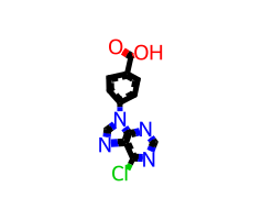 O=C(O)c1ccc(-n2cnc3c(Cl)ncnc32)cc1